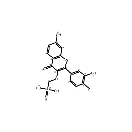 Cc1ccc(-c2oc3cc(O)ccc3c(=O)c2OCP(=O)(O)O)cc1O